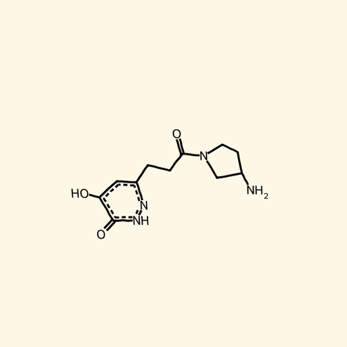 NC1CCN(C(=O)CCc2cc(O)c(=O)[nH]n2)C1